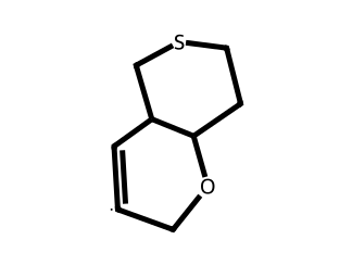 [C]1=CC2CSCCC2OC1